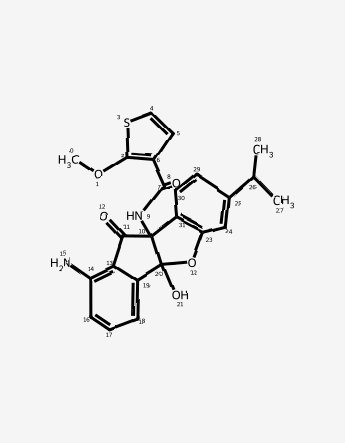 COc1sccc1C(=O)NC12C(=O)c3c(N)cccc3C1(O)Oc1cc(C(C)C)ccc12